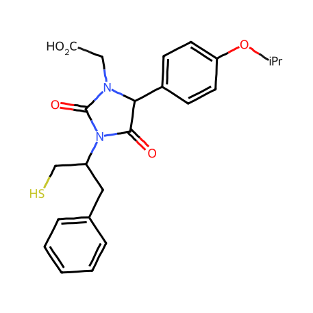 CC(C)Oc1ccc(C2C(=O)N(C(CS)Cc3ccccc3)C(=O)N2CC(=O)O)cc1